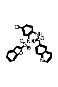 O=S(=O)(Nc1ccc(Cl)cc1NS(=O)(=O)c1cc2ccccc2o1)c1ccc2ncccc2c1